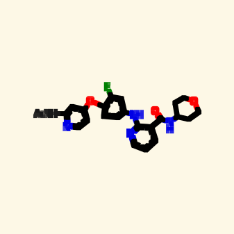 CC(=O)Nc1cc(Oc2ccc(Nc3ncccc3C(=O)NC3CCOCC3)cc2F)ccn1